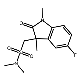 CN1C(=O)C(C)(CS(=O)(=O)N(C)C)c2cc(F)ccc21